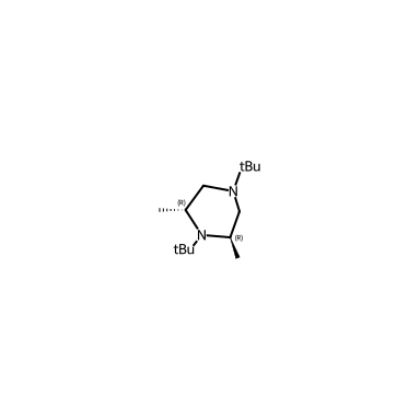 C[C@@H]1CN(C(C)(C)C)C[C@@H](C)N1C(C)(C)C